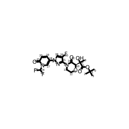 CC(C)(C)OC(=O)C(C)(O)[C@H]1OCCN(c2nn(-c3ccc(=O)n(C(F)F)c3)cc2F)C1=O